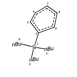 CCCC[Si](CCCC)(CCCC)c1ccccc1